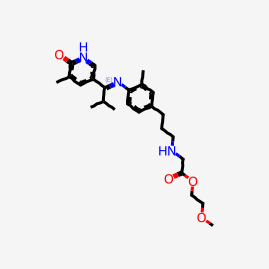 COCCOC(=O)CNCCCc1ccc(/N=C(/c2c[nH]c(=O)c(C)c2)C(C)C)c(C)c1